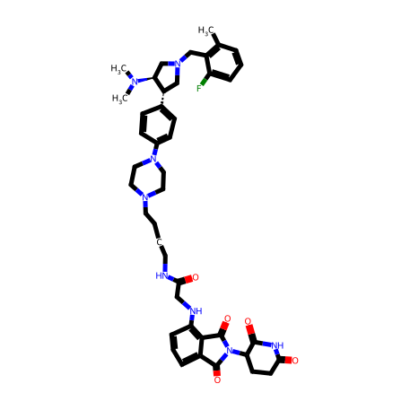 Cc1cccc(F)c1CN1C[C@H](c2ccc(N3CCN(CCCCNC(=O)CNc4cccc5c4C(=O)N(C4CCC(=O)NC4=O)C5=O)CC3)cc2)[C@@H](N(C)C)C1